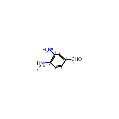 Nc1cc(C=O)ccc1NI